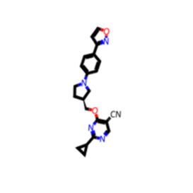 N#Cc1cnc(C2CC2)nc1OC[C@H]1CCN(c2ccc(-c3ccon3)cc2)C1